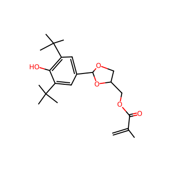 C=C(C)C(=O)OCC1COC(c2cc(C(C)(C)C)c(O)c(C(C)(C)C)c2)O1